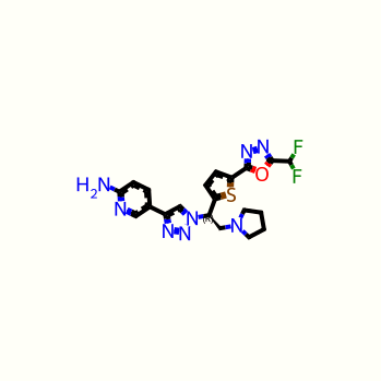 Nc1ccc(-c2cn([C@H](CN3CCCC3)c3ccc(-c4nnc(C(F)F)o4)s3)nn2)cn1